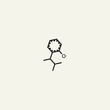 CC(C)C(C)c1ccccc1[O]